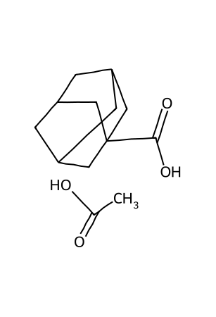 CC(=O)O.O=C(O)C12CC3CC(CC(C3)C1)C2